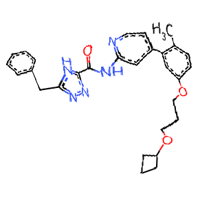 Cc1ccc(OCCCOC2CCC2)cc1-c1ccnc(NC(=O)c2nnc(Cc3ccccc3)[nH]2)c1